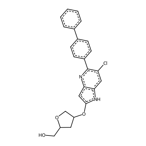 OCC1CC(Oc2cc3nc(-c4ccc(-c5ccccc5)cc4)c(Cl)cc3[nH]2)CO1